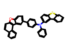 c1ccc(N(c2ccc(-c3ccc4oc5ccc6ccccc6c5c4c3)cc2)c2ccc3sc4ccccc4c3c2)cc1